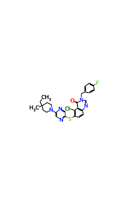 CCC1(C)CCN(c2cnc(Sc3ccc4ncn(Cc5ccc(F)cc5)c(=O)c4c3Cl)cn2)CC1